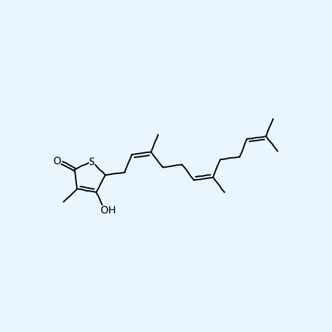 CC(C)=CCCC(C)=CCCC(C)=CCC1SC(=O)C(C)=C1O